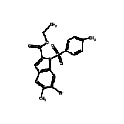 CCOC(=O)c1cc2cc(C)c(Br)cc2n1S(=O)(=O)c1ccc(C)cc1